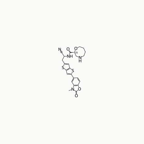 Cn1c(=O)oc2ccc(-c3cc4sc(CC(C#N)NC(=O)[C@@H]5CNCCCCO5)cc4s3)cc21